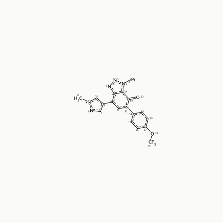 CC(C)n1nnc2c(-c3cnn(C)c3)cn(-c3ccc(OC(F)(F)F)cc3)c(=O)c21